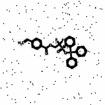 C=Cc1ccc(C(=O)OCC(F)(F)S(=O)(=O)OS(c2ccccc2)(c2ccccc2)c2ccccc2)cc1